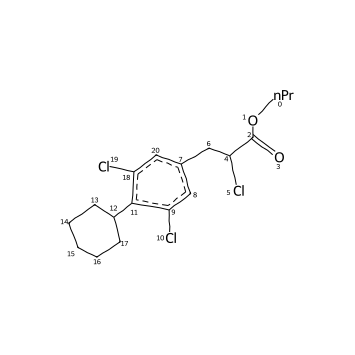 CCCOC(=O)C(Cl)Cc1cc(Cl)c(C2CCCCC2)c(Cl)c1